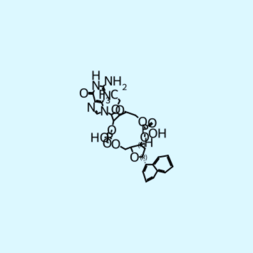 Nc1nc2c(ncn2C2OC3COP(=O)(O)O[C@@H]4C[C@H](c5cccc6ccccc56)OC4COP(=O)(O)OC2C3OCC(F)(F)F)c(=O)[nH]1